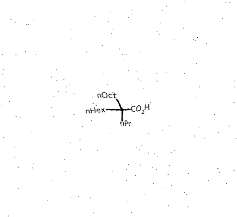 CCCCCCCCC(CCC)(CCCCCC)C(=O)O